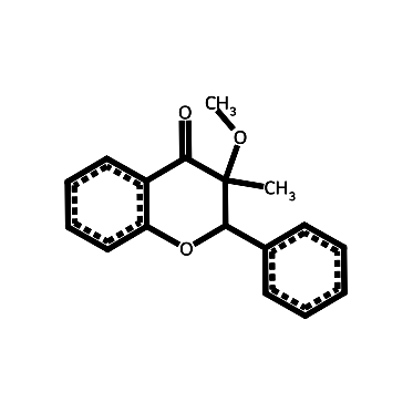 COC1(C)C(=O)c2ccccc2OC1c1ccccc1